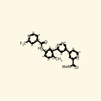 CNC(=O)c1cc(-c2cnnc(-c3cc(NC(=O)c4ccnc(C(F)(F)F)c4)ccc3C)c2)ccn1